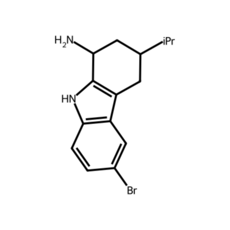 CC(C)C1Cc2c([nH]c3ccc(Br)cc23)C(N)C1